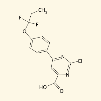 CCC(F)(F)Oc1ccc(-c2cc(C(=O)O)nc(Cl)n2)cc1